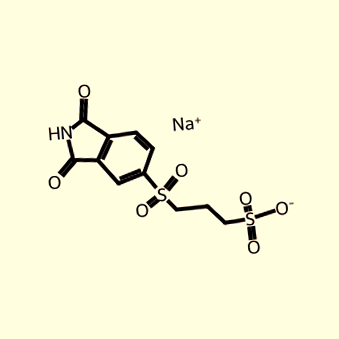 O=C1NC(=O)c2cc(S(=O)(=O)CCCS(=O)(=O)[O-])ccc21.[Na+]